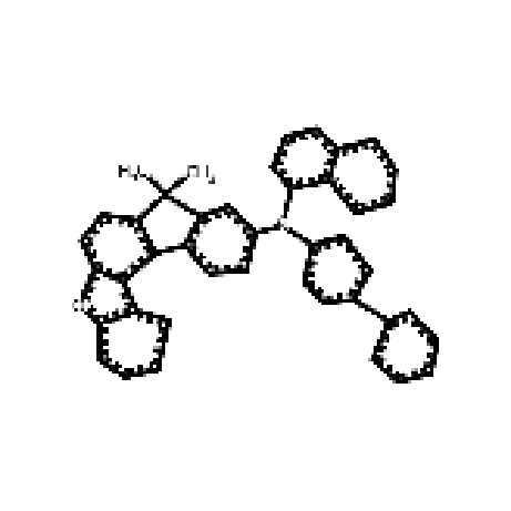 CC1(C)c2cc(N(c3ccc(-c4ccccc4)cc3)c3cccc4ccccc34)ccc2-c2c1ccc1oc3ccccc3c21